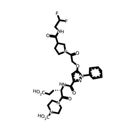 O=C(O)CC[C@H](NC(=O)c1cc(OCC(=O)N2CCC(C(=O)NCC(F)F)C2)n(-c2ccccc2)n1)C(=O)N1CCN(C(=O)O)CC1